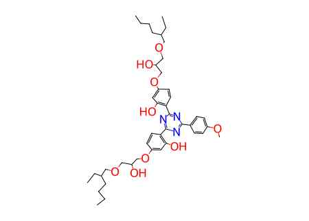 CCCCC(CC)COCC(O)COc1ccc(-c2nc(-c3ccc(OC)cc3)nc(-c3ccc(OCC(O)COCC(CC)CCCC)cc3O)n2)c(O)c1